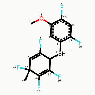 COc1cc(BC2C(F)=CC(C)(F)C(F)=C2F)c(F)cc1F